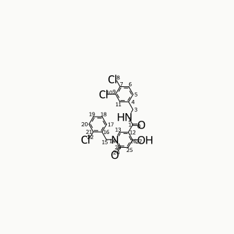 O=C(NCc1ccc(Cl)c(Cl)c1)c1cn(Cc2ccccc2Cl)c(=O)cc1O